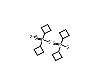 S=P([S-])(C1CCC1)C1CCC1.S=P([S-])(C1CCC1)C1CCC1.[Zn+2]